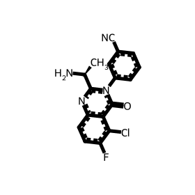 C[C@H](N)c1nc2ccc(F)c(Cl)c2c(=O)n1-c1cccc(C#N)c1